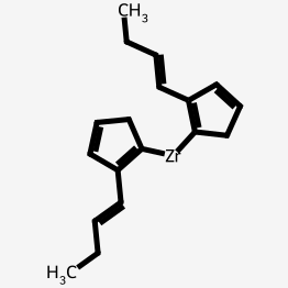 CC/C=C/C1=[C]([Zr][C]2=C(/C=C/CC)C=CC2)CC=C1